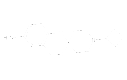 Nc1ccc2c(c1)COC1(CCN(C3CCC3)CC1)O2